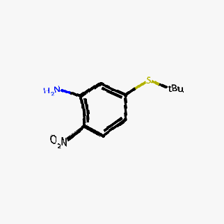 CC(C)(C)Sc1ccc([N+](=O)[O-])c(N)c1